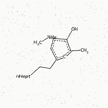 CCCCCCCCCc1ccc(O)c(C)c1.CNC